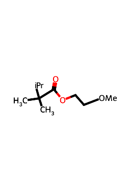 COCCOC(=O)C(C)(C)C(C)C